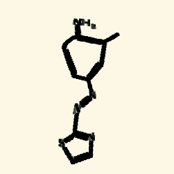 Cc1cc(/N=N/c2nccs2)ccc1N